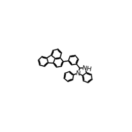 c1ccc(N2c3ccccc3NC2c2cccc(-c3ccc4c5c(cccc35)-c3ccccc3-4)c2)cc1